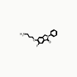 NCCCOc1cc2c(cc1F)C(=O)N(c1ccccc1)C2